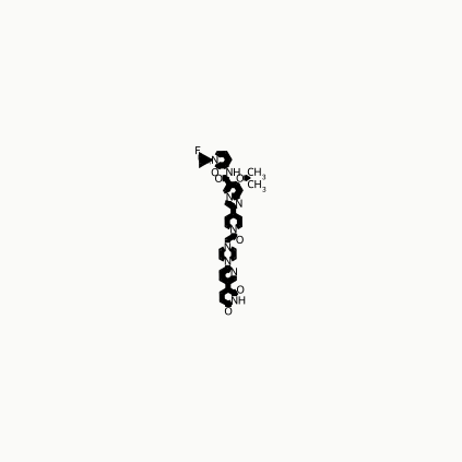 CC(C)Oc1cc2nc(C3CCN(C(=O)CN4CCN(c5ccc(C6CCC(=O)NC6=O)cn5)CC4)CC3)cn2cc1C(=O)Nc1cccn([C@H]2C[C@H]2F)c1=O